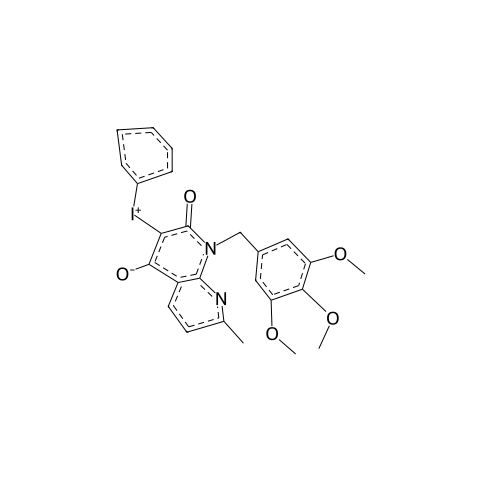 COc1cc(Cn2c(=O)c([I+]c3ccccc3)c([O-])c3ccc(C)nc32)cc(OC)c1OC